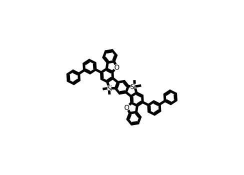 C[Si]1(C)c2cc3c(cc2-c2c1cc(-c1cccc(-c4ccccc4)c1)c1c2oc2ccccc21)[Si](C)(C)c1cc(-c2cccc(-c4ccccc4)c2)c2c(oc4ccccc42)c1-3